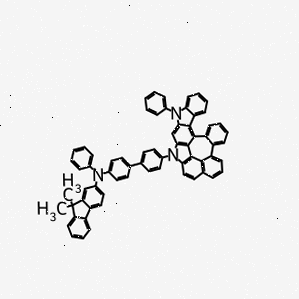 CC1(C)c2ccccc2-c2ccc(N(c3ccccc3)c3ccc(-c4ccc(-n5c6cc7c(c8c6c6c9c(cccc9ccc65)-c5ccccc5-8)c5ccccc5n7-c5ccccc5)cc4)cc3)cc21